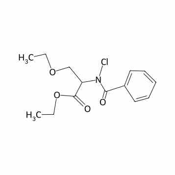 CCOCC(C(=O)OCC)N(Cl)C(=O)c1ccccc1